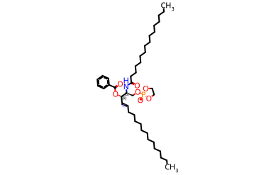 CCCCCCCCCCCCC/C=C/[C@@H](OC(=O)c1ccccc1)[C@H](COP1(=O)OCCO1)NC(=O)CCCCCCCCCCCCCCC